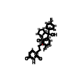 O=c1ccn(CCCS(=O)(=O)N2CCCC2C(O)(c2ccc(F)cc2)c2ccc(F)cc2)c(=O)[nH]1